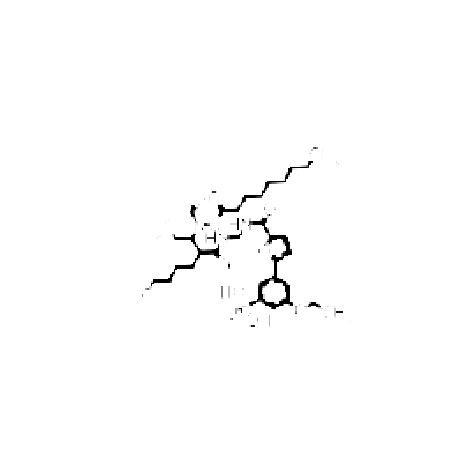 CCCCCCCCC(=O)ON(C=O)C(CC)C(CCCCC)C(=O)NCNC(=O)c1ccc(-c2cc(OCC)cc(P(=O)(O)O)c2)o1